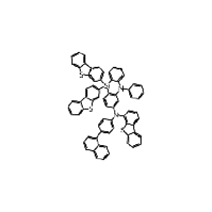 c1ccc(N2c3ccccc3[Si](c3ccc4c(c3)sc3ccccc34)(c3ccc4c(c3)sc3ccccc34)c3ccc(N(c4ccc(-c5cccc6ccccc56)cc4)c4cccc5c4sc4ccccc45)cc32)cc1